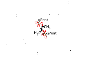 CCCCCS(=O)(=O)OC(C)CC(C)OS(=O)(=O)CCCCC